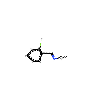 CON=Cc1cc[c]cc1F